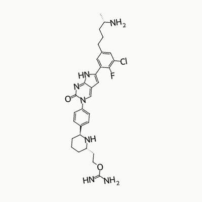 C[C@H](N)CCCc1cc(Cl)c(F)c(-c2cc3cn(-c4ccc([C@@H]5CCC[C@@H](CCOC(=N)N)N5)cc4)c(=O)nc3[nH]2)c1